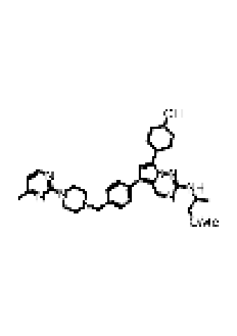 COCC(C)Nc1ncc2c(-c3ccc(CN4CCN(c5nccc(C)n5)CC4)cc3)cc(C3CCC(O)CC3)n2n1